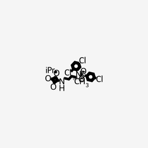 CC(C)Oc1c(NCCC[C@@H](C)N(c2cc(Cl)ccc2Cl)S(=O)(=O)c2ccc(Cl)cc2)c(=O)c1=O